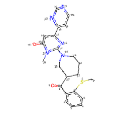 CSc1ccccc1C(=O)C1CCCN(c2nc(-c3ccncn3)cc(=O)n2C)C1